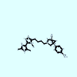 Cc1nc(C)c(-c2nnc(CCCCN3C[C@@H]4C[C@]4(c4ccc(C(F)(F)F)cc4)C3)n2C)s1